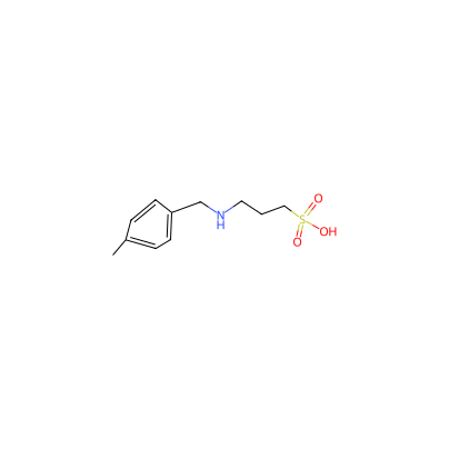 Cc1ccc(CNCCCS(=O)(=O)O)cc1